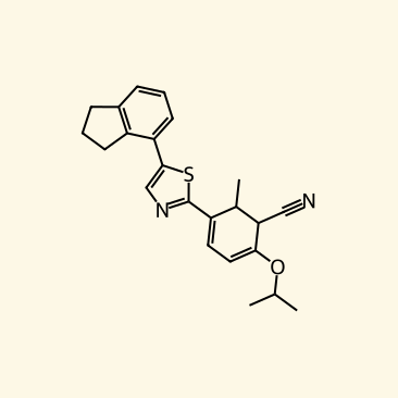 CC(C)OC1=CC=C(c2ncc(-c3cccc4c3CCC4)s2)C(C)C1C#N